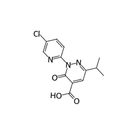 CC(C)c1cc(C(=O)O)c(=O)n(-c2ccc(Cl)cn2)n1